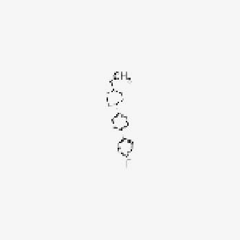 CC[C@H]1CC[C@H](c2ccc(-c3ccc(F)cc3)cc2)CC1